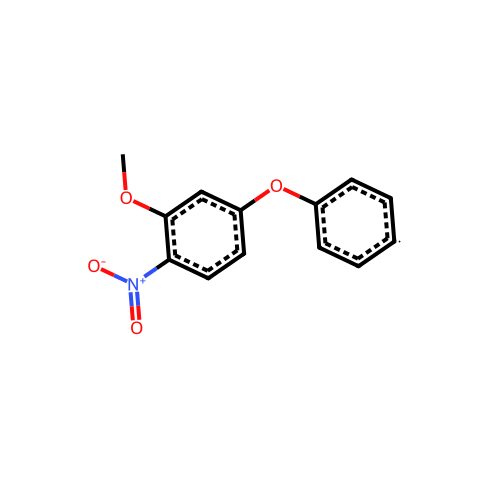 COc1cc(Oc2cc[c]cc2)ccc1[N+](=O)[O-]